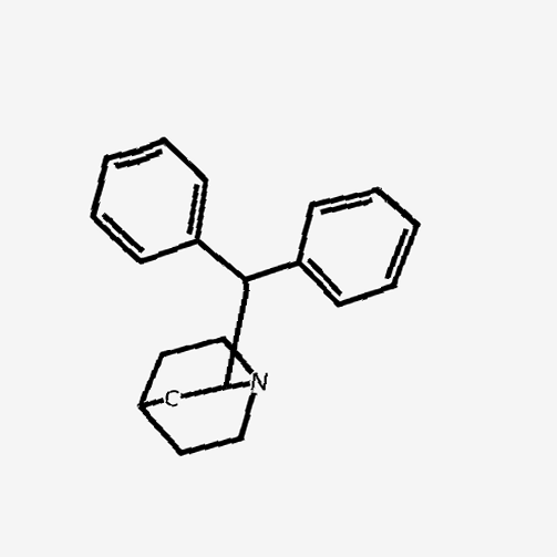 c1ccc(C(c2ccccc2)C2CC3CCN2CC3)cc1